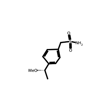 CO[C@@H](C)c1ccc(CS(N)(=O)=O)cc1